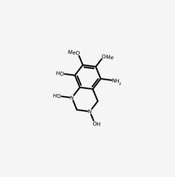 COc1c(N)c2c(c(O)c1OC)N(O)CN(O)C2